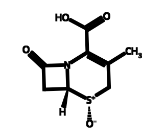 CC1=C(C(=O)O)N2C(=O)C[C@H]2[S@@+]([O-])C1